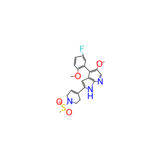 COc1ccc(F)cc1-c1c(OC)cnc2[nH]c(C3=CCN(S(C)(=O)=O)CC3)cc12